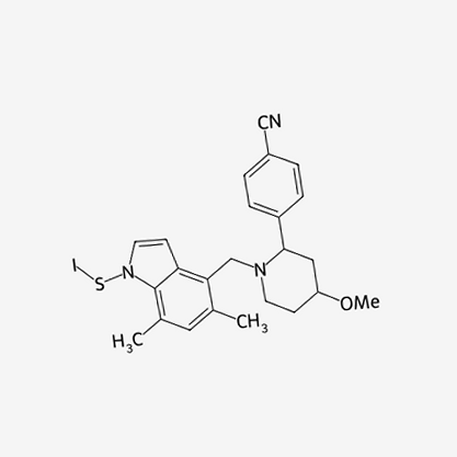 COC1CCN(Cc2c(C)cc(C)c3c2ccn3SI)C(c2ccc(C#N)cc2)C1